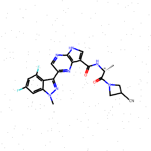 C[C@@H](NC(=O)c1c[nH]c2ncc(-c3nn(C)c4cc(F)cc(F)c34)nc12)C(=O)N1CC(C#N)C1